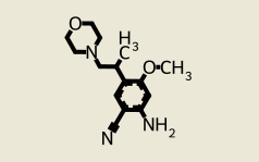 COc1cc(N)c(C#N)cc1C(C)CN1CCOCC1